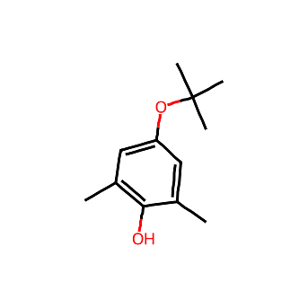 Cc1cc(OC(C)(C)C)cc(C)c1O